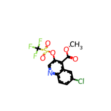 COC(=O)c1c(OS(=O)(=O)C(F)(F)F)cnc2ccc(Cl)cc12